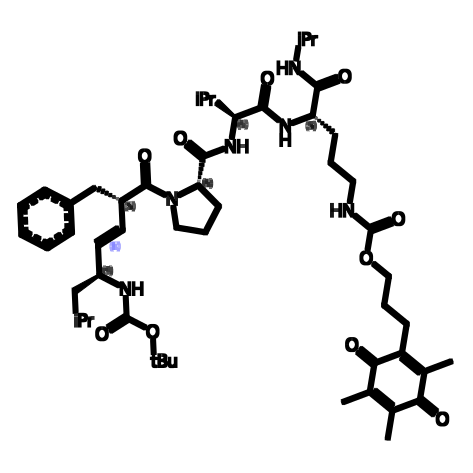 CC1=C(C)C(=O)C(CCCOC(=O)NCCC[C@H](NC(=O)[C@@H](NC(=O)[C@@H]2CCCN2C(=O)[C@H](/C=C/[C@H](CC(C)C)NC(=O)OC(C)(C)C)Cc2ccccc2)C(C)C)C(=O)NC(C)C)=C(C)C1=O